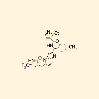 CCn1nccc1C(=O)N[C@H](c1cn2nc(CC3C[C@@H](C(F)(F)F)NC3=O)ccc2n1)[C@H]1CC[C@H](C)CC1